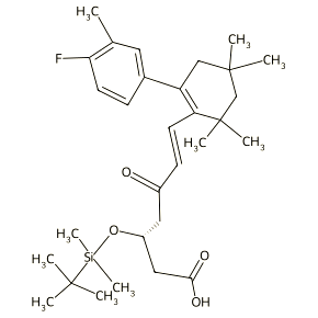 Cc1cc(C2=C(C=CC(=O)C[C@H](CC(=O)O)O[Si](C)(C)C(C)(C)C)C(C)(C)CC(C)(C)C2)ccc1F